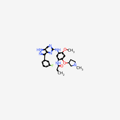 C=CC(=O)Nc1cc(Nc2ncc3[nH]nc(-c4cccc(F)c4)c3n2)c(OC)cc1OC1CCN(C)C1